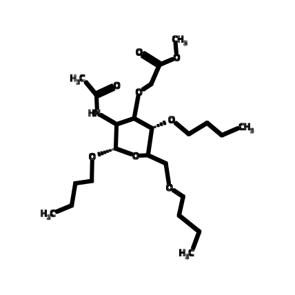 CCCCOCC1O[C@H](OCCCC)C(NC(C)=O)C(OCC(=O)OC)[C@@H]1OCCCC